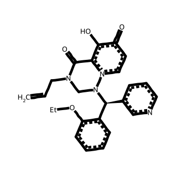 C=CCN1CN([C@@H](c2cccnc2)c2ccccc2OCC)n2ccc(=O)c(O)c2C1=O